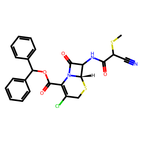 CSC(C#N)C(=O)NC1C(=O)N2C(C(=O)OC(c3ccccc3)c3ccccc3)=C(Cl)CS[C@@H]12